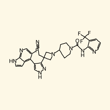 N#CCC1(c2n[nH]cc2-c2c(F)cnc3[nH]ccc23)CN(C2CCN(C(=O)Nc3ncccc3C(F)(F)F)CC2)C1